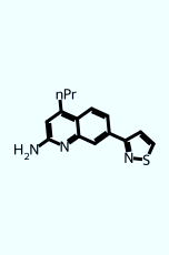 CCCc1cc(N)nc2cc(-c3ccsn3)ccc12